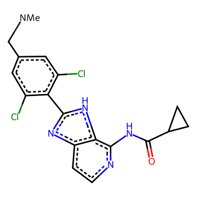 CNCc1cc(Cl)c(-c2nc3ccnc(NC(=O)C4CC4)c3[nH]2)c(Cl)c1